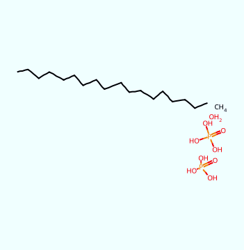 C.CCCCCCCCCCCCCCCCCC.O.O=P(O)(O)O.O=P(O)(O)O